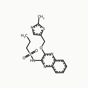 CCCS(=O)(=O)Nc1nc2ccccc2nc1OCc1cnc(C)s1